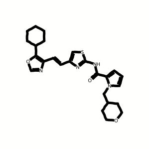 O=C(Nc1nc(C=Cc2ncoc2C2CCCCC2)cs1)c1cccn1CC1CCOCC1